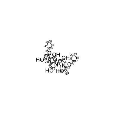 O=C(O)CN(CCN(CC(=O)O)[C@H](COCc1ccccc1)C(=O)O)CCN(CC(=O)O)[C@@H](COCc1ccccc1)C(=O)O